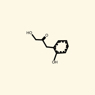 O=C(CO)Cc1ccccc1O